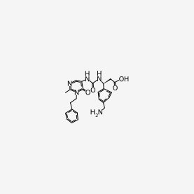 Cc1ncc(NC(=O)N[C@@H](CC(=O)O)c2ccc(CN)cc2)c(=O)n1CCc1ccccc1